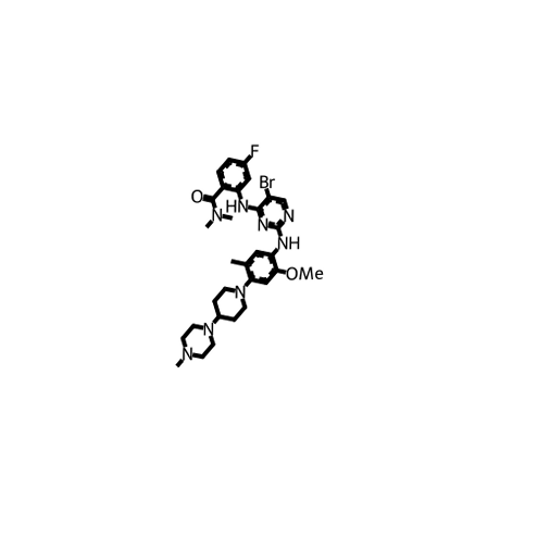 COc1cc(N2CCC(N3CCN(C)CC3)CC2)c(C)cc1Nc1ncc(Br)c(Nc2cc(F)ccc2C(=O)N(C)C)n1